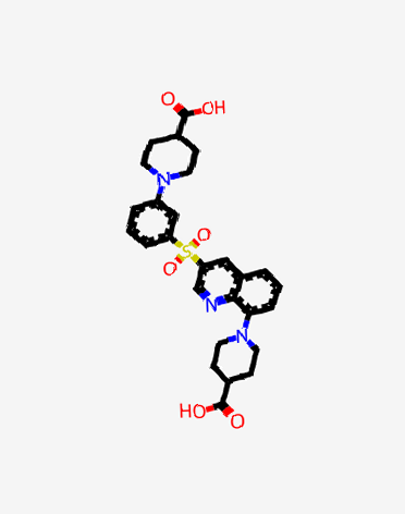 O=C(O)C1CCN(c2cccc(S(=O)(=O)c3cnc4c(N5CCC(C(=O)O)CC5)cccc4c3)c2)CC1